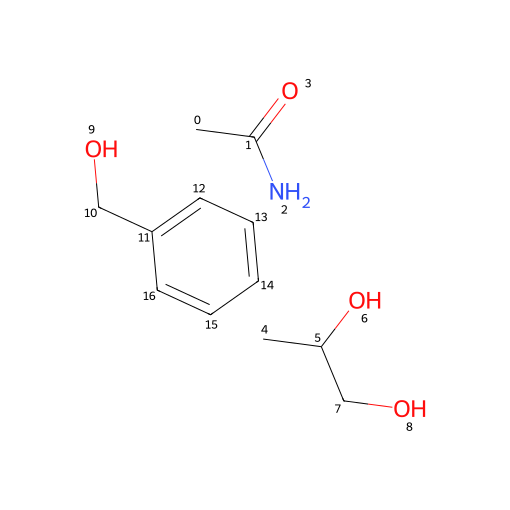 CC(N)=O.CC(O)CO.OCc1ccccc1